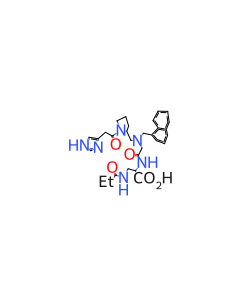 CCC(=O)NC[C@H](NC(=O)CN(Cc1cccc2ccccc12)CC1CCCN1C(=O)Cc1c[nH]cn1)C(=O)O